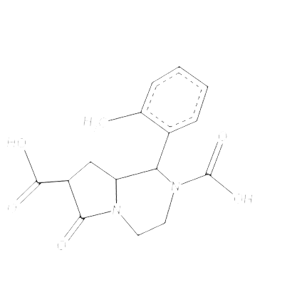 Cc1ccccc1C1C2CC(C(=O)O)C(=O)N2CCN1C(=O)O